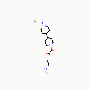 CN(C)CCOC(=O)C(=O)N1CCC(C2CCN(C)CC2)CC1